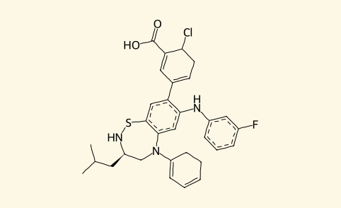 CC(C)C[C@@H]1CN(C2=CC=CCC2)c2cc(Nc3cccc(F)c3)c(C3=CCC(Cl)C(C(=O)O)=C3)cc2SN1